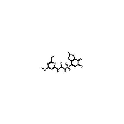 CCc1nc(NC(=O)NS(=O)(=O)C2=CC(=O)C(=O)C3=C2SC(C)C3)nc(OC)n1